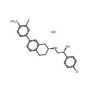 Cc1cc(-c2ccc3c(c2)C[C@@H](NC[C@@H](O)c2ccc(Cl)cc2)CC3)ccc1C(=O)O.Cl